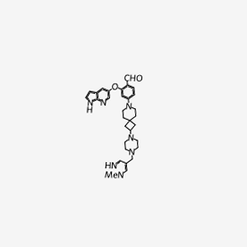 CN/C=C(\C=N)CN1CCN(C2CC3(CCN(c4ccc(C=O)c(Oc5cnc6[nH]ccc6c5)c4)CC3)C2)CC1